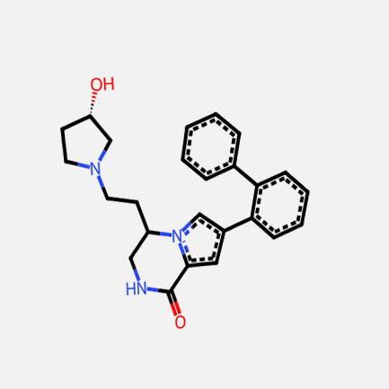 O=C1NCC(CCN2CC[C@H](O)C2)n2cc(-c3ccccc3-c3ccccc3)cc21